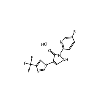 Cl.O=c1c(-n2cnc(C(F)(F)F)c2)c[nH]n1-c1ccc(Br)cn1